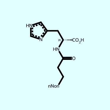 CCCCCCCCCCCC(=O)N[C@H](Cc1c[nH]cn1)C(=O)O